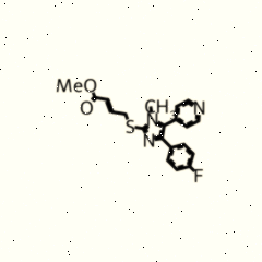 COC(=O)C=CCSc1nc(-c2ccc(F)cc2)c(-c2ccncc2)n1C